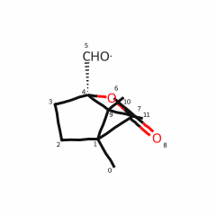 CC12CC[C@@]([C]=O)(OC1=O)C2(C)C